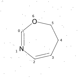 [C]1=NC=CCCO1